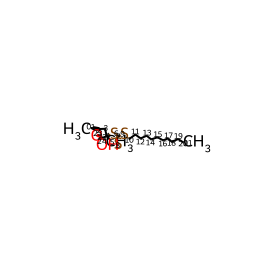 CC#CCC(C)(SC(=S)SCCCCCCCCCCCC)C(=O)O